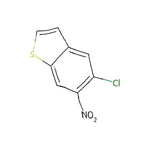 O=[N+]([O-])c1cc2sccc2cc1Cl